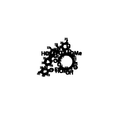 CCC1OC(=O)[C@H](C)[C@H](OC2C[C@H](C)[C@@H](O)[C@H](C)O2)[C@H](C)[C@@H](OC2O[C@H](C)C[C@H](N(C)CCCCc3ccc(-n4cc(C)ccc4=O)cc3)[C@H]2O)[C@@](C)(OC)C[C@@H](C)C(=O)[C@H](C)[C@@H](O)[C@]1(C)O